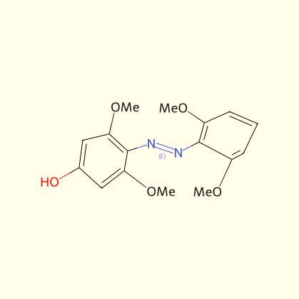 COc1cccc(OC)c1/N=N/c1c(OC)cc(O)cc1OC